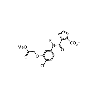 COC(=O)COc1cc(N(F)C(=O)c2sccc2C(=O)O)ccc1Cl